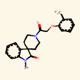 CC(C)N1C(=O)C2(CCN(C(=O)COc3ccccc3C(F)(F)F)CC2)c2ccccc21